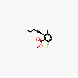 CCCC#Cc1c(C)ccc(F)c1C(=O)OC